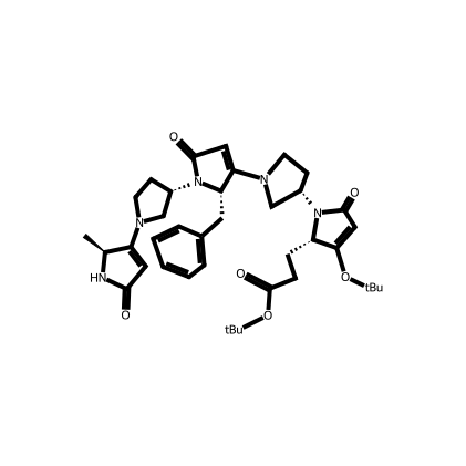 C[C@@H]1NC(=O)C=C1N1CC[C@H](N2C(=O)C=C(N3CC[C@H](N4C(=O)C=C(OC(C)(C)C)[C@@H]4CCC(=O)OC(C)(C)C)C3)[C@@H]2Cc2ccccc2)C1